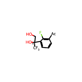 CC(=O)c1cccc([C@](O)(CO)C(F)(F)F)c1F